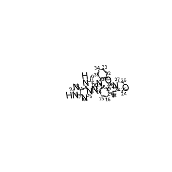 CC(Nc1ncnc2[nH]cnc12)c1nc2ccc(F)c(C(=O)N3CCOCC3)c2n1-c1ccccc1